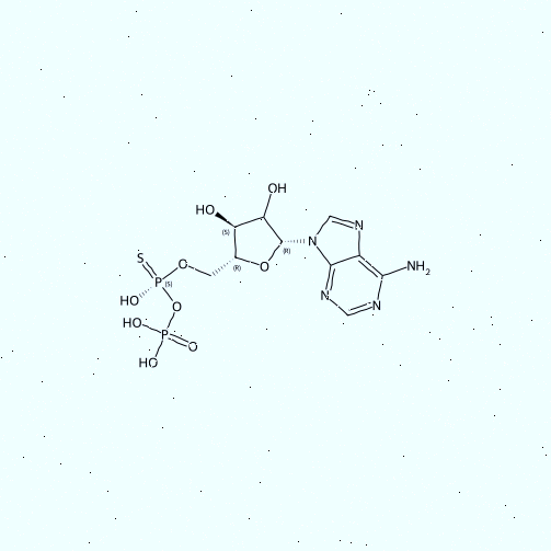 Nc1ncnc2c1ncn2[C@@H]1O[C@H](CO[P@](O)(=S)OP(=O)(O)O)[C@@H](O)C1O